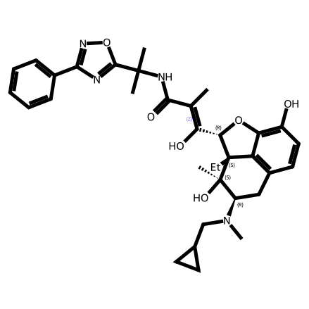 CC[C@]12c3c(ccc(O)c3O[C@H]1/C(O)=C(\C)C(=O)NC(C)(C)c1nc(-c3ccccc3)no1)C[C@@H](N(C)CC1CC1)[C@@]2(C)O